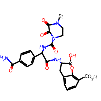 CCN1CCN(C(=O)NC(C(=O)N[C@H]2Cc3cccc(C(=O)O)c3OB2O)c2ccc(C(N)=O)cc2)C(=O)C1=O